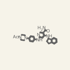 CC(=O)N1CCN(c2ccc(Nc3cc(NC4CCc5ccccc54)c(C(N)=O)cn3)cc2)CC1